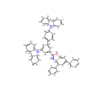 c1ccc(-c2cc(-c3ccccc3)c3nc(-c4cc(-c5ccc(-n6c7ccccc7c7ccccc76)cc5)cc(-n5c6ccccc6c6ccccc65)c4)oc3c2)cc1